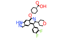 O=C(O)[C@H]1CC[C@H](Oc2nc(C3CCOCC3)c(-c3ccc(F)c(F)c3)c3cc4cn[nH]c4cc23)CC1